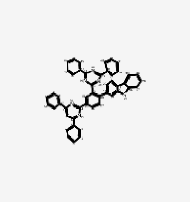 c1ccc(-c2cc(-c3ccccc3)nc(-c3ccc(-c4ccc5c(c4)sc4ccccc45)c(-c4nc(-c5ccccc5)nc(-c5ccccc5)n4)c3)n2)cc1